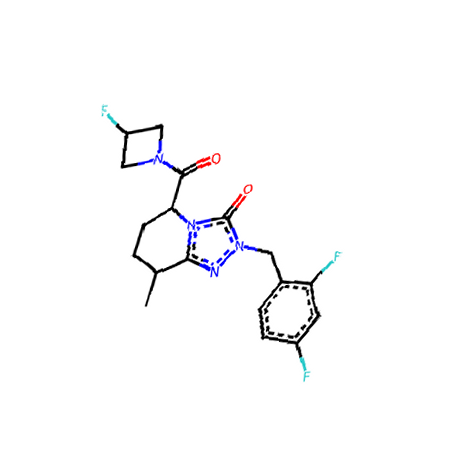 CC1CCC(C(=O)N2CC(F)C2)n2c1nn(Cc1ccc(F)cc1F)c2=O